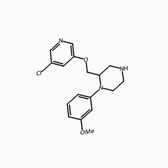 COc1cccc(N2CCNCC2COc2cncc(Cl)c2)c1